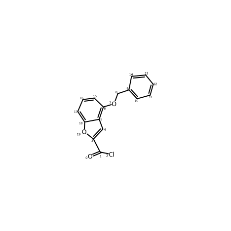 O=C(Cl)c1cc2c(OCc3ccccc3)cccc2o1